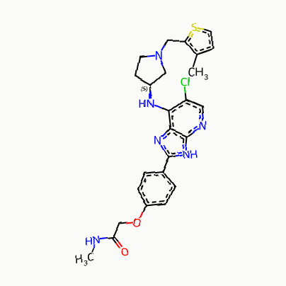 CNC(=O)COc1ccc(-c2nc3c(N[C@H]4CCN(Cc5sccc5C)C4)c(Cl)cnc3[nH]2)cc1